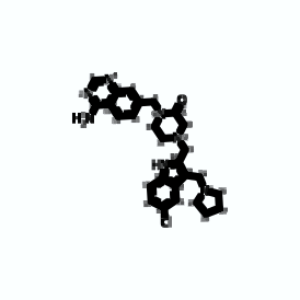 Nc1ncnc2cc(CN3CCN(Cc4[nH]c5ccc(Cl)cc5c4CN4CCCC4)CC3=O)ccc12